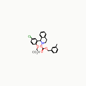 Cc1cccc(COC(=O)ON2CCc3ccccc3C2c2cc(Cl)ccc2OCC(=O)O)c1